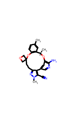 Cc1ccc2c(c1)[C@@H](C)Oc1cc(cnc1N)-c1c(nn(C)c1C#N)CCC1(COC1)O2